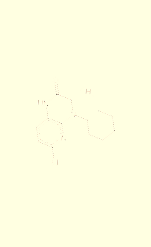 C[C@H]1C(=O)Nc2ccc(Cl)nc2N1C1CCCCC1